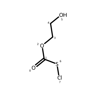 O=C(OCCO)SCl